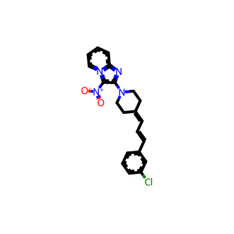 O=[N+]([O-])c1c(N2CCC(=CC=Cc3cccc(Cl)c3)CC2)nc2ccccn12